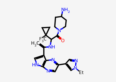 C=C(NC(C(=O)N1CCC(N)CC1)C1(C(F)(F)F)CC1)c1c[nH]c2ncc(-c3cnn(CC)c3)nc12